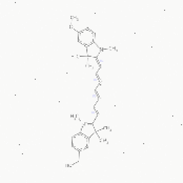 COc1ccc2c(c1)C(C)(C)\C(=C/C=C/C=C/C=C/C1=[N+](C)c3ccc(CO)cc3C1(C)C)N2C